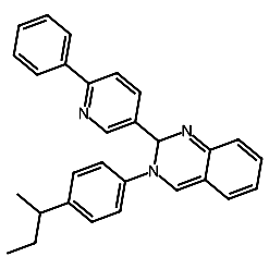 CCC(C)c1ccc(N2C=c3ccccc3=NC2c2ccc(-c3ccccc3)nc2)cc1